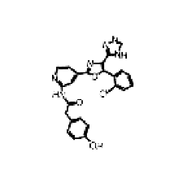 O=C(Cc1ccc(O)cc1)Nc1cc(-c2nc(-c3nnc[nH]3)c(-c3ccccc3Cl)o2)ccn1